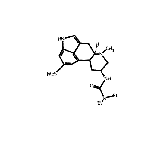 CCN(CC)C(=O)N[C@H]1CC2c3cc(SC)cc4[nH]cc(c34)C[C@H]2N(C)C1